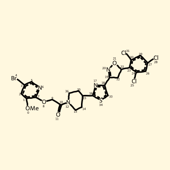 COc1cc(Br)cnc1OCC(=O)N1CCC(c2nc(C3=NOC(c4c(Cl)cc(Cl)cc4Cl)C3)cs2)CC1